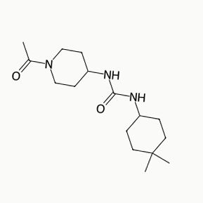 CC(=O)N1CCC(NC(=O)NC2CCC(C)(C)CC2)CC1